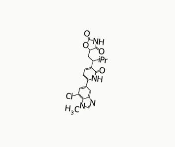 CC(C)C(CC1OC(=O)NC1=O)c1ccc(-c2cc(Cl)c3c(c2)ncn3C)[nH]c1=O